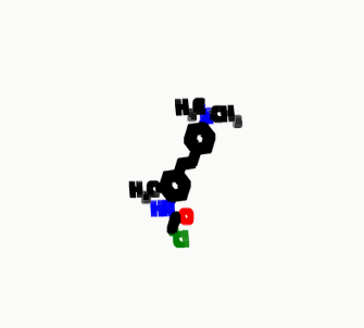 Cc1cc(/C=C/c2ccc(N(C)C)cc2)ccc1NC(=O)CCl